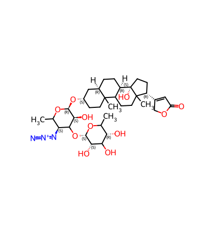 CC1O[C@@H](OC2[C@@H](N=[N+]=[N-])C(C)O[C@@H](O[C@H]3CCC4(C)C5CCC6(C)[C@@H](C7=CC(=O)OC7)CC[C@]6(O)[C@@H]5CC[C@@H]4C3)[C@H]2O)[C@@H](O)C(O)[C@H]1O